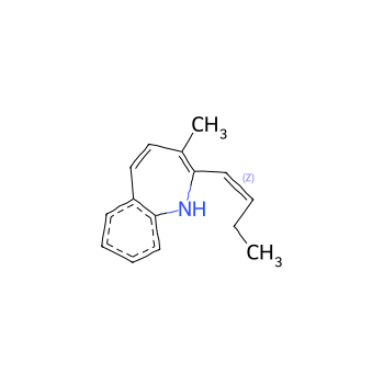 CC/C=C\C1=C(C)C=Cc2ccccc2N1